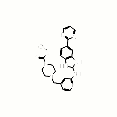 CC(C)(C)OC(=O)N1CCN(Cc2ccnc(NC3Nc4ccc(-c5ncccn5)cc4N3)c2)CC1